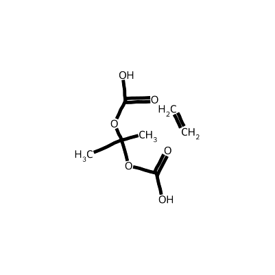 C=C.CC(C)(OC(=O)O)OC(=O)O